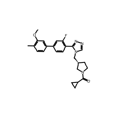 COc1cc(-c2ccc(-c3nncn3C[C@H]3CCN(C(=O)C4CC4)C3)c(F)c2)ccc1C